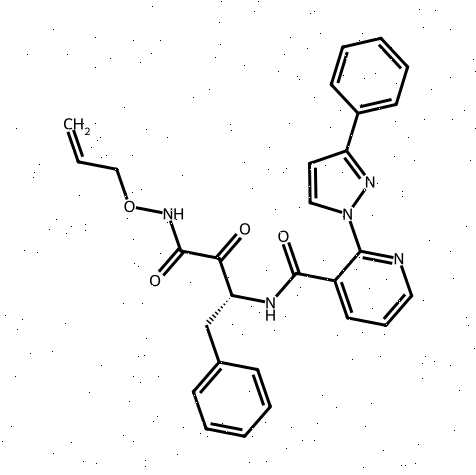 C=CCONC(=O)C(=O)[C@@H](Cc1ccccc1)NC(=O)c1cccnc1-n1ccc(-c2ccccc2)n1